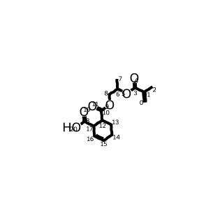 C=C(C)C(=O)OC(C)COC(=O)C1CCC=CC1C(=O)O